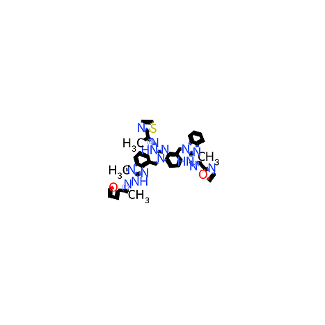 C/C(=N\Nc1nc2c(Cn3c(N/N=C(\C)c4nccs4)nc4c(Cn5c(N/N=C(\C)c6ncco6)nc6ccccc65)cccc43)cccc2n1C)c1ccco1